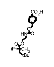 CC(C)C(C)(CC(C)(C)C)C(=O)OCCNC(=O)OCc1ccc(C(=O)O)cc1